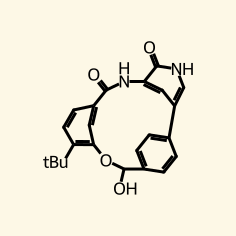 CC(C)(C)c1ccc2cc1OC(O)c1ccc(cc1)-c1c[nH]c(=O)c(c1)NC2=O